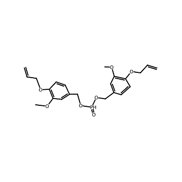 C=CCOc1ccc(CO[PH](=O)OCc2ccc(OCC=C)c(OC)c2)cc1OC